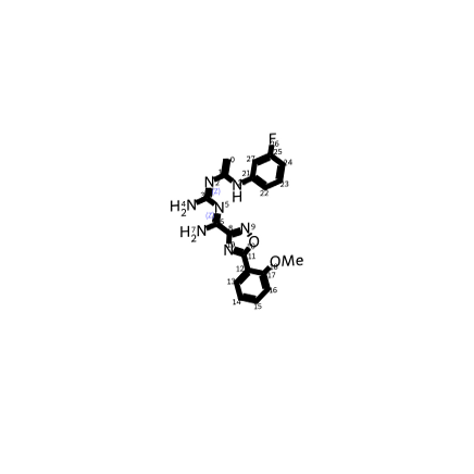 C=C(/N=C(N)\N=C(/N)c1noc(-c2ccccc2OC)n1)Nc1cccc(F)c1